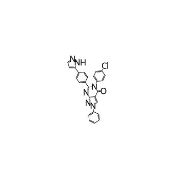 O=c1c2cn(-c3ccccc3)nc2nc(-c2ccc(-c3ccn[nH]3)cc2)n1-c1ccc(Cl)cc1